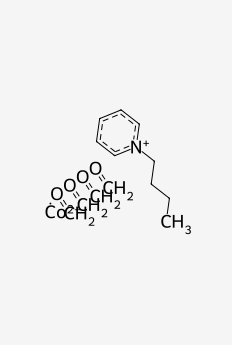 C=O.C=O.C=O.C=O.CCCC[n+]1ccccc1.[Co+2]